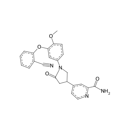 COc1ccc(N2CC(c3ccnc(C(N)=O)c3)CC2=O)cc1Oc1ccccc1C#N